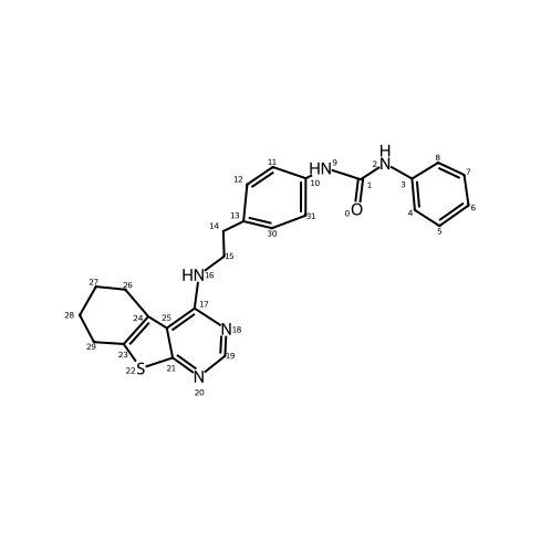 O=C(Nc1ccccc1)Nc1ccc(CCNc2ncnc3sc4c(c23)CCCC4)cc1